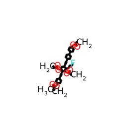 C=CC(=O)Oc1ccc(-c2ccc(C#Cc3cc(OC(=O)C=C)c(C#Cc4ccc(OC(=O)C(=C)C)cc4)c(OC(=O)C=C)c3CCCF)cc2)cc1